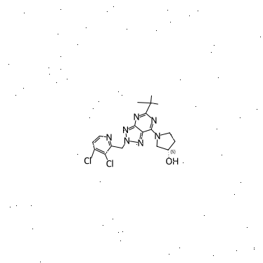 CC(C)(C)c1nc(N2CC[C@H](O)C2)c2nn(Cc3nccc(Cl)c3Cl)nc2n1